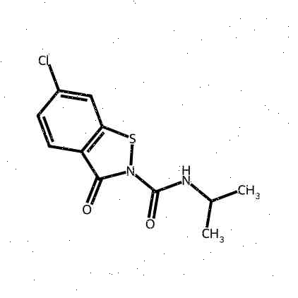 CC(C)NC(=O)n1sc2cc(Cl)ccc2c1=O